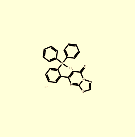 C[P+](c1ccccc1)(c1ccccc1)c1ccccc1-c1cc(=O)n2ncsc2n1.[Cl-]